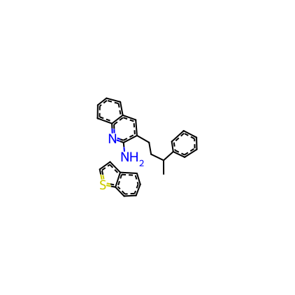 CC(CCc1cc2ccccc2nc1N)c1ccccc1.c1ccc2sccc2c1